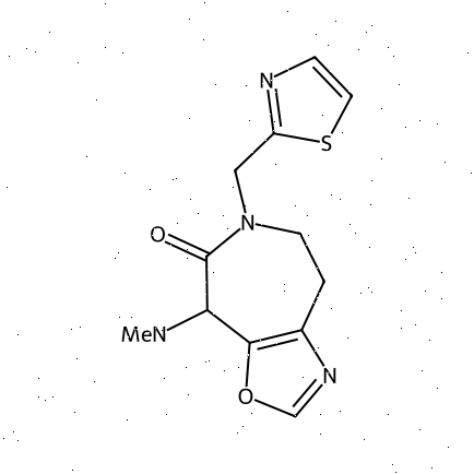 CNC1C(=O)N(Cc2nccs2)CCc2ncoc21